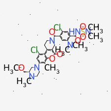 COC[C@H]1CN(c2cc(Cl)c3c4c(c(=O)oc3c2C)CN(C(=O)c2cc(N(C)C)c(C(=O)NS(=O)(=O)N(C)C)cc2Cl)CC4)CCN1C